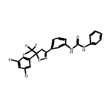 O=C(Nc1ccccc1)Nc1cccc(C2=NOC(c3cc(Cl)cc(Cl)c3)(C(F)(F)F)C2)c1